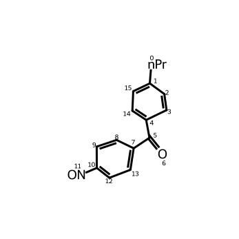 CCCc1ccc(C(=O)c2ccc(N=O)cc2)cc1